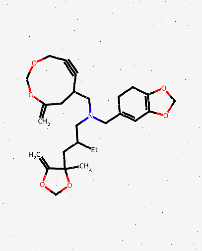 C=C1CC(CN(CC2=CC3=C(CC2)OCO3)CC(CC)CC2(C)OCOC2=C)C#CCOCO1